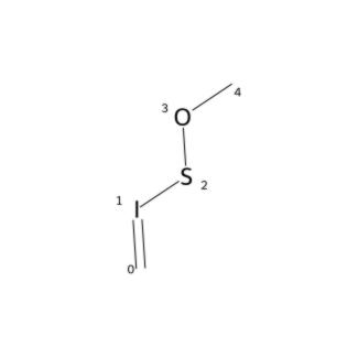 C=ISOC